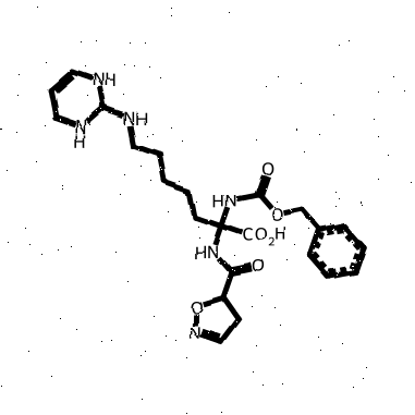 O=C(NC(CCCCCNC1NC=CCN1)(NC(=O)C1CC=NO1)C(=O)O)OCc1ccccc1